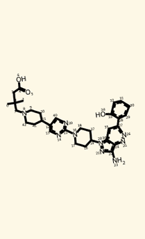 CC(C)(CC(=O)O)CN1CCC(c2cnc(N3CCC(n4nc(N)c5nnc(-c6ccccc6O)cc54)CC3)nc2)CC1